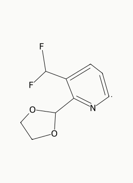 FC(F)c1cc[c]nc1C1OCCO1